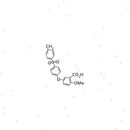 COc1ccc(Oc2ccc(S(=O)(=O)c3ccc(C)cc3)cc2)cc1C(=O)O